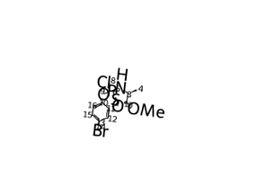 COC(=O)[C@H](C)NP(=S)(Cl)Oc1ccc(Br)cc1